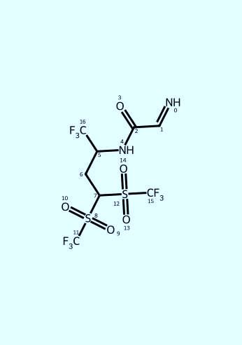 N=CC(=O)NC(CC(S(=O)(=O)C(F)(F)F)S(=O)(=O)C(F)(F)F)C(F)(F)F